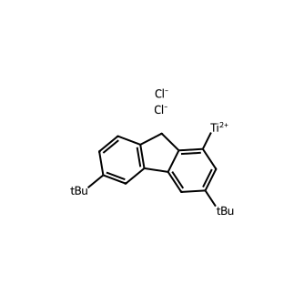 CC(C)(C)c1ccc2c(c1)-c1cc(C(C)(C)C)c[c]([Ti+2])c1C2.[Cl-].[Cl-]